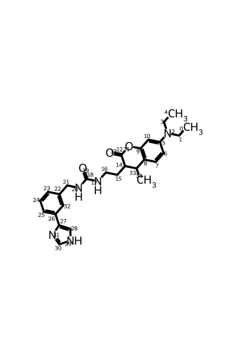 CCN(CC)c1ccc2c(c1)OC(=O)C(CCNC(=O)NCc1cccc(-c3c[nH]cn3)c1)C2C